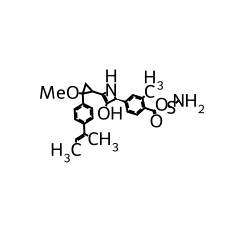 C/C=C(\C)c1ccc(C2(OC)CC2C2=C(O)[C@H](c3ccc(C(=O)OSN)c(C)c3)N2)cc1